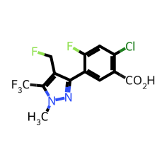 Cn1nc(-c2cc(C(=O)O)c(Cl)cc2F)c(CF)c1C(F)(F)F